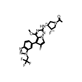 COc1nc(N[C@@H]2CN(C(C)=O)C[C@@H]2F)nn2cc(F)c(-c3ccc4nnn(CC(F)(F)F)c4c3)c12